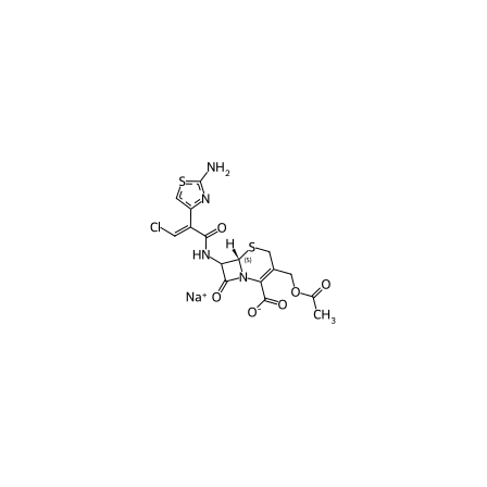 CC(=O)OCC1=C(C(=O)[O-])N2C(=O)C(NC(=O)C(=CCl)c3csc(N)n3)[C@@H]2SC1.[Na+]